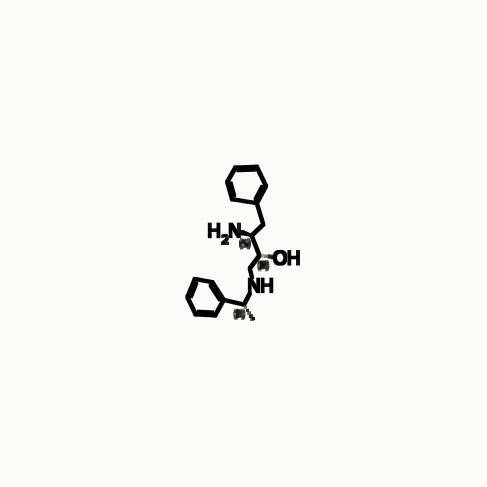 C[C@@H](NC[C@@H](O)[C@@H](N)Cc1ccccc1)c1ccccc1